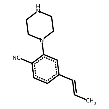 CC=Cc1ccc(C#N)c(N2CCNCC2)c1